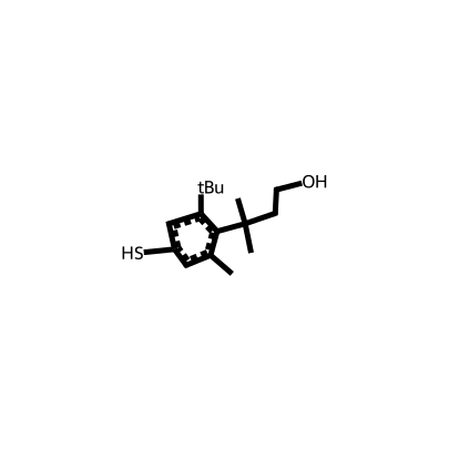 Cc1cc(S)cc(C(C)(C)C)c1C(C)(C)CCO